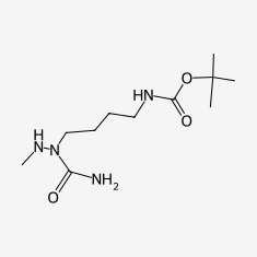 CNN(CCCCNC(=O)OC(C)(C)C)C(N)=O